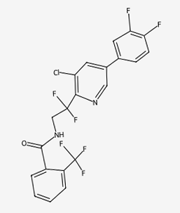 O=C(NCC(F)(F)c1ncc(-c2ccc(F)c(F)c2)cc1Cl)c1ccccc1C(F)(F)F